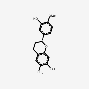 COc1ccc([C@@H]2CCc3cc(C)c(O)cc3O2)cc1O